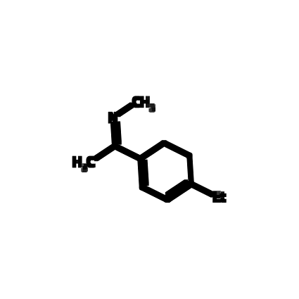 CCC1=CC=C(/C(C)=N\C)CC1